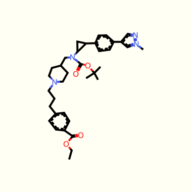 CCOC(=O)c1ccc(CCCN2CCC(CN(C(=O)OC(C)(C)C)C3CC3c3ccc(-c4cnn(C)c4)cc3)CC2)cc1